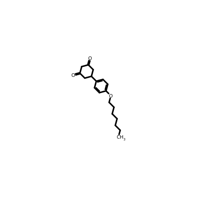 CCCCCCCOc1ccc(C2CC(=O)CC(=O)C2)cc1